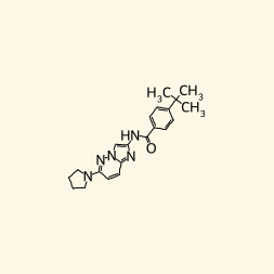 CC(C)(C)c1ccc(C(=O)Nc2cn3nc(N4CCCC4)ccc3n2)cc1